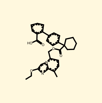 CCOc1cn2c(COC(=O)C3(c4ccc(-c5ccccc5C(=O)O)cc4)CCCCC3)ccc(C)c2n1